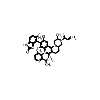 C=CC(=O)N1CC2CCc3c(c4cc(Cl)c(-c5c(C)ccc6[nH]c(=O)oc56)c(F)c4n(-c4c(C)ccnc4C(C)C)c3=O)N2CC1C